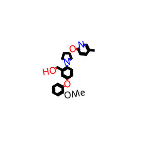 COc1ccccc1Oc1ccc(N2CCC(Oc3ccc(C)cn3)C2)c(CO)c1